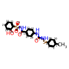 Cc1ccc(SNC(=O)Nc2ccc(C(=O)NS(=O)(=O)c3ccccc3O)cc2)cc1